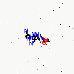 C[C@@H]1CN(c2ncnc3c2C(C)(CC#N)CN3c2cc(C#N)ccn2)[C@@H](C)CN1C(=O)OC(C)(C)C